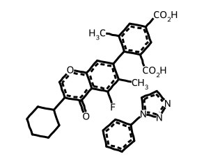 Cc1cc(C(=O)O)cc(C(=O)O)c1-c1cc2occ(C3CCCCC3)c(=O)c2c(F)c1C.c1ccc(-n2ccnn2)cc1